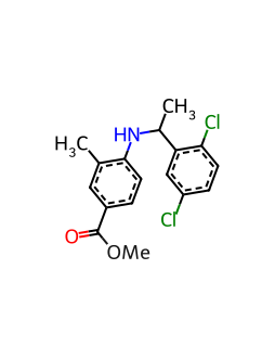 COC(=O)c1ccc(NC(C)c2cc(Cl)ccc2Cl)c(C)c1